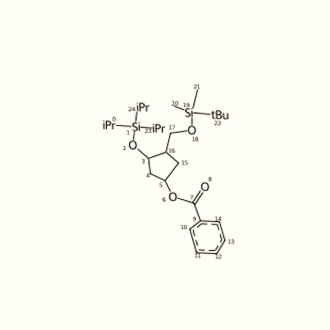 CC(C)[Si](OC1CC(OC(=O)c2ccccc2)CC1CO[Si](C)(C)C(C)(C)C)(C(C)C)C(C)C